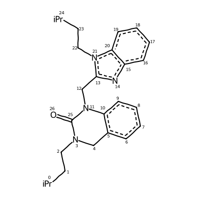 CC(C)CCN1Cc2ccccc2N(Cc2nc3ccccc3n2CCC(C)C)C1=O